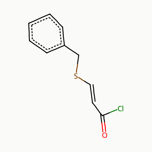 O=C(Cl)C=CSCc1ccccc1